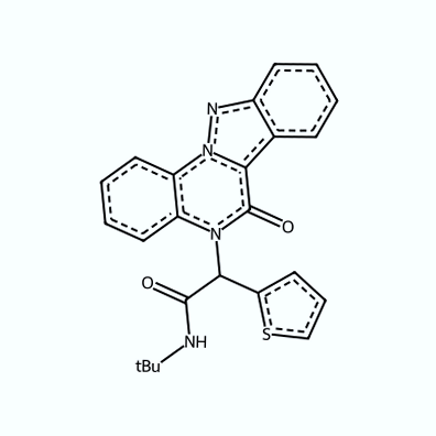 CC(C)(C)NC(=O)C(c1cccs1)n1c(=O)c2c3ccccc3nn2c2ccccc21